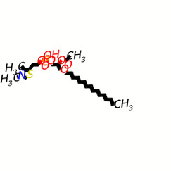 CCCCCCCCCCCCCCCCOCC(COP(=O)(O)OCCC1=C(C)N(C)CS1)OC(C)=O